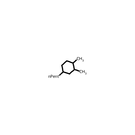 CCC[CH]CC1CCC(C)C(C)C1